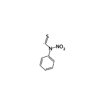 O=[N+]([O-])N([C]=S)c1ccccc1